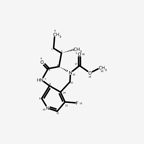 CC[C@H](C)[C@H]1C(=O)Nc2cncc(F)c2CN1C(=O)OC